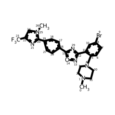 CN1CCN(c2ccc(Br)cc2-c2noc(-c3ccc(-c4nc(C(F)(F)F)cn4C)cc3)n2)CC1